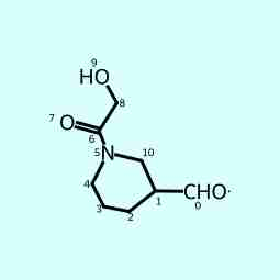 O=[C]C1CCCN(C(=O)CO)C1